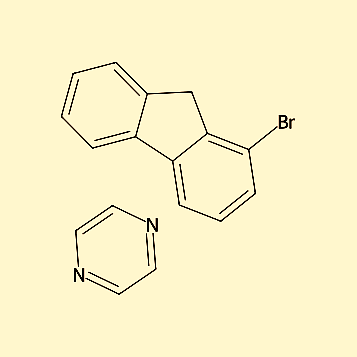 Brc1cccc2c1Cc1ccccc1-2.c1cnccn1